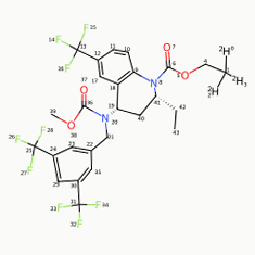 [2H]C([2H])([2H])COC(=O)N1c2ccc(C(F)(F)F)cc2[C@@H](N(Cc2cc(C(F)(F)F)cc(C(F)(F)F)c2)C(=O)OC)C[C@H]1CC